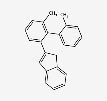 Cc1ccccc1-c1c(C)cccc1C1=Cc2ccccc2C1